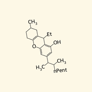 CCCCCC(C)C(C)c1cc(O)c2c(c1)OC1=C(CC(C)CC1)C2CC